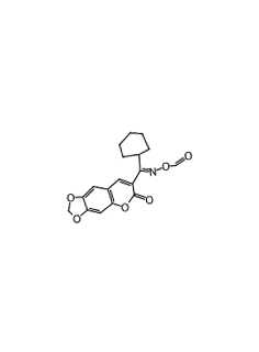 O=CO/N=C(/c1cc2cc3c(cc2oc1=O)OCO3)C1CCCCC1